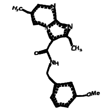 COc1cccc(CNC(=O)c2c(C)nc3ncc(C)cn23)c1